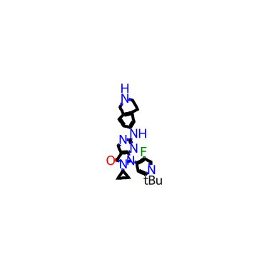 CC(C)(C)c1cc(-n2c3nc(Nc4ccc5c(c4)CCNC5)ncc3c(=O)n2C2CC2)c(F)cn1